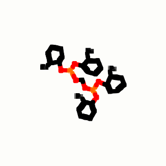 CCC(C)c1ccccc1OP(OCOP(Oc1ccccc1C(C)CC)Oc1ccccc1C(C)CC)Oc1ccccc1C(C)CC